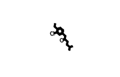 CCc1ccc(CC(=O)CCC(C)C)cc1Cl